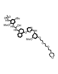 COc1cc(Nc2nccc(Oc3ccc(NC(O)Nc4cc(C(C)(C)C)cc(NS(C)(=O)=O)c4OC)c4ccccc34)n2)cc(OCCOCCOCCN2CCOCC2)c1